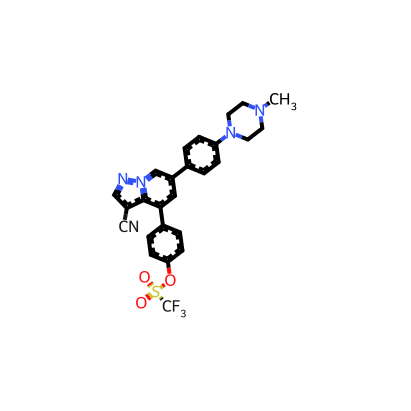 CN1CCN(c2ccc(-c3cc(-c4ccc(OS(=O)(=O)C(F)(F)F)cc4)c4c(C#N)cnn4c3)cc2)CC1